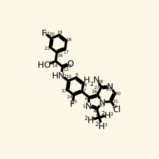 [2H]C([2H])([2H])c1nc(-c2ccc(NC(=O)C(O)c3cccc(F)c3)cc2F)c2c(N)ncc(Cl)n12